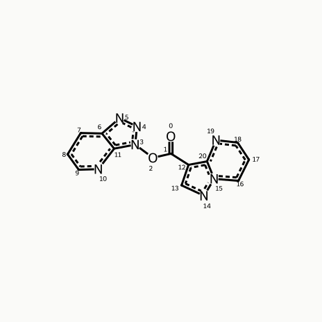 O=C(On1nnc2cccnc21)c1cnn2cccnc12